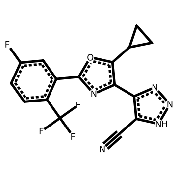 N#Cc1[nH]nnc1-c1nc(-c2cc(F)ccc2C(F)(F)F)oc1C1CC1